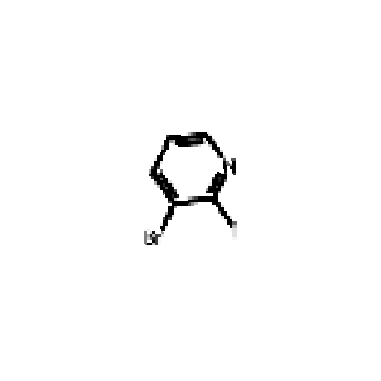 Brc1cccnc1I